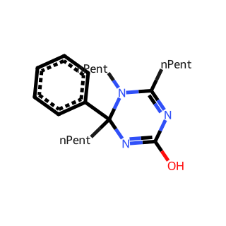 CCCCCC1=NC(O)=NC(CCCCC)(c2ccccc2)N1CCCCC